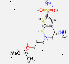 CCN[C@H]1CN(CCCOC(C)OC)Sc2sc(S(N)(=O)=O)cc21